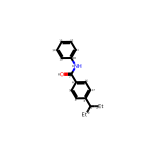 CC[C](CC)c1ccc(C(=O)Nc2ccccc2)cc1